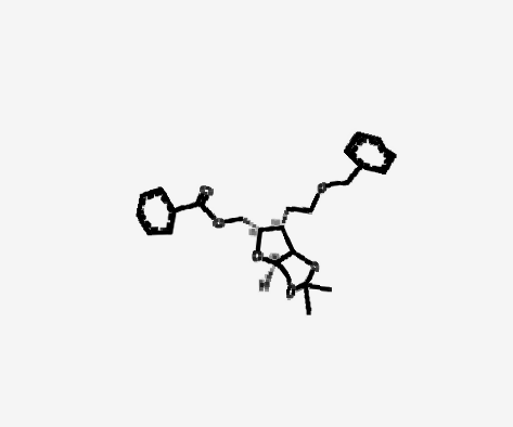 CC1(C)OC2[C@H](O[C@H](COC(=O)c3ccccc3)[C@@H]2CCOCc2ccccc2)O1